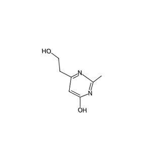 Cc1nc(O)cc(CCO)n1